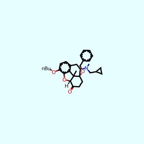 CCCCOc1ccc2c3c1O[C@H]1C(=O)CC[C@@](OCc4ccccc4)([C@H](N(C)CC4CC4)C2)C31C